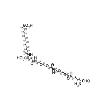 N[C@H]([C]=O)CCCCNC(=O)COCCOCCNC(=O)COCCOCCNC(=O)CC[C@H](NC(=O)CCCCCCCCCCCCC(=O)O)C(=O)O